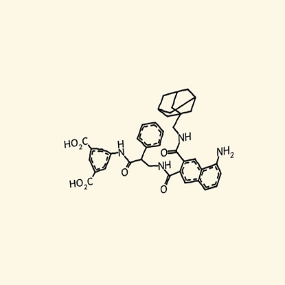 Nc1cccc2cc(C(=O)NCC(C(=O)Nc3cc(C(=O)O)cc(C(=O)O)c3)c3ccccc3)c(C(=O)NCC34CC5CC(CC(C5)C3)C4)cc12